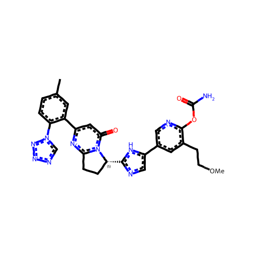 COCCc1cc(-c2cnc([C@@H]3CCc4nc(-c5cc(C)ccc5-n5cnnn5)cc(=O)n43)[nH]2)cnc1OC(N)=O